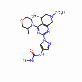 CCNC(=O)Nc1cnn(-c2nc3c(c(N4CCOCC4C)n2)[C@H](C(C)(C)C)CN(C(=O)O)C3)c1